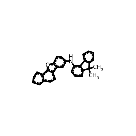 CC1(C)c2ccccc2-c2c(Nc3ccc4oc5c6ccccc6ccc5c4c3)cccc21